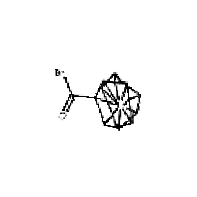 O=C(Br)[C]12[CH]3[CH]4[CH]5[CH]1[Fe]45321678[CH]2[CH]1[CH]6[CH]7[CH]28